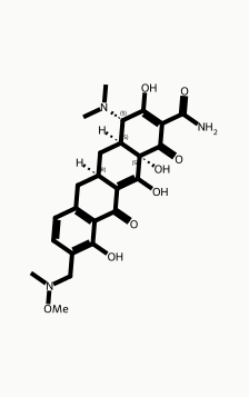 CON(C)Cc1ccc2c(c1O)C(=O)C1=C(O)[C@]3(O)C(=O)C(C(N)=O)=C(O)[C@@H](N(C)C)[C@@H]3C[C@@H]1C2